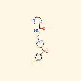 O=C(NCCN1CCC(C(=O)c2ccc(F)cc2)CC1)c1cccnc1